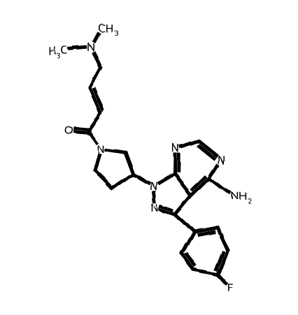 CN(C)C/C=C/C(=O)N1CCC(n2nc(-c3ccc(F)cc3)c3c(N)ncnc32)C1